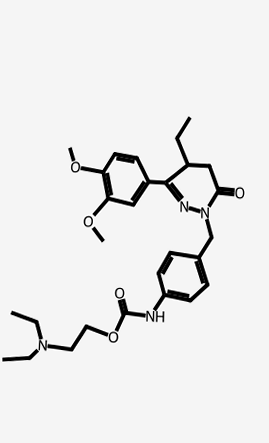 CCC1CC(=O)N(Cc2ccc(NC(=O)OCCN(CC)CC)cc2)N=C1c1ccc(OC)c(OC)c1